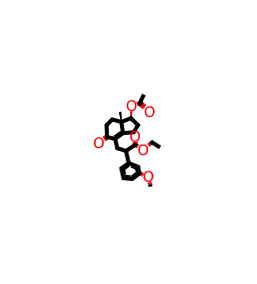 CCOC(=O)C(CC1=C2CC[C@H](OC(C)=O)[C@@]2(C)CCC1=O)c1cccc(OC)c1